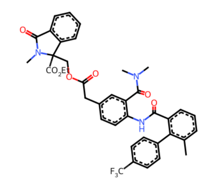 CCOC(=O)C1(COC(=O)Cc2ccc(NC(=O)c3cccc(C)c3-c3ccc(C(F)(F)F)cc3)c(C(=O)N(C)C)c2)c2ccccc2C(=O)N1C